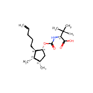 C=CCCC[C@@H]1[C@@H](C)[C@@H](C)C[C@H]1OC(=O)N[C@H](C(=O)O)C(C)(C)C